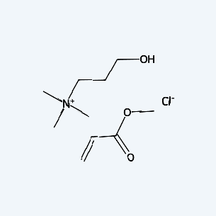 C=CC(=O)OC.C[N+](C)(C)CCCO.[Cl-]